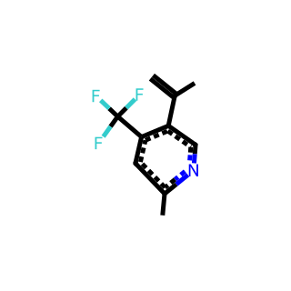 C=C(C)c1cnc(C)cc1C(F)(F)F